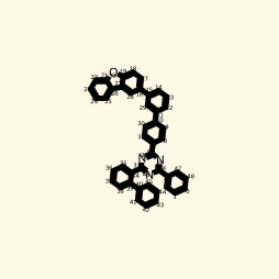 c1ccc(-c2nc(-c3ccc(-c4cccc(-c5ccc6oc7ccccc7c6c5)c4)cc3)nc(-c3ccccc3-c3ccccc3)n2)cc1